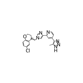 Cc1[nH]nnc1-c1ccnc(-c2cn(C[C@@H]3CCOc4ccc(Cl)cc43)cn2)c1